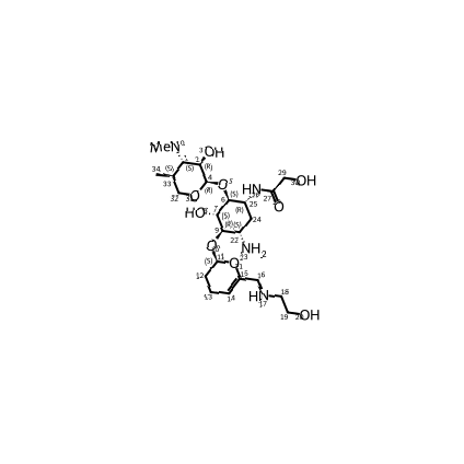 CN[C@@H]1[C@@H](O)[C@@H](O[C@@H]2[C@@H](O)[C@H](O[C@@H]3CCC=C(CNCCO)O3)[C@@H](N)C[C@H]2NC(=O)CO)OC[C@H]1C